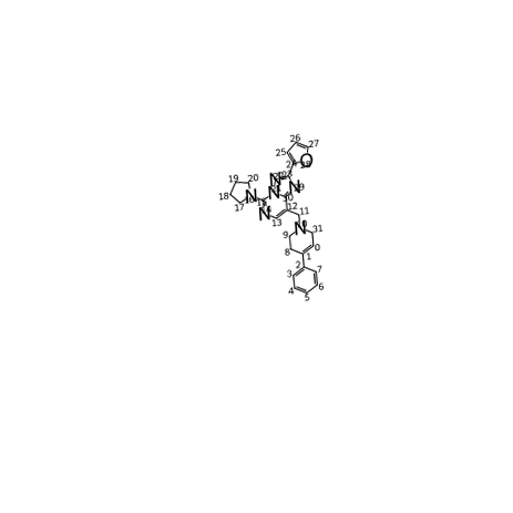 C1=C(c2ccccc2)CCN(Cc2cnc(N3CCCC3)n3nc(-c4ccco4)nc23)C1